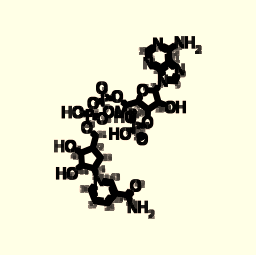 COP(=O)(OCC1OC(n2cnc3c(N)ncnc32)C(O)C1OP(=O)(O)O)OP(=O)(O)OCC1CC([n+]2cccc(C(N)=O)c2)C(O)C1O